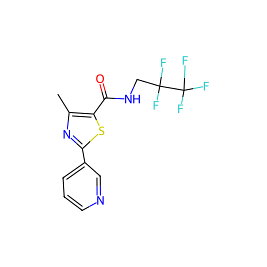 Cc1nc(-c2cccnc2)sc1C(=O)NCC(F)(F)C(F)(F)F